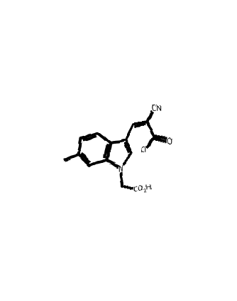 Cc1ccc2c(C=C(C#N)C(=O)Cl)cn(CC(=O)O)c2c1